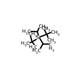 CC(C)[Si](C(C)C)(C(C)(C)C)C(C)(C)C